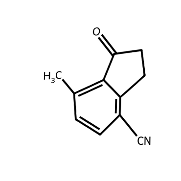 Cc1ccc(C#N)c2c1C(=O)CC2